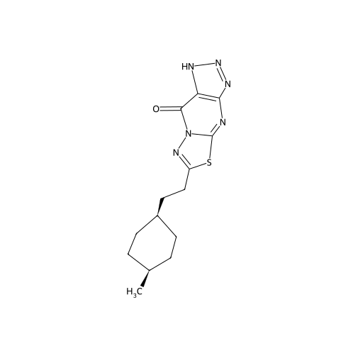 C[C@H]1CC[C@@H](CCc2nn3c(=O)c4[nH]nnc4nc3s2)CC1